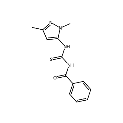 Cc1cc(NC(=S)NC(=O)c2ccccc2)n(C)n1